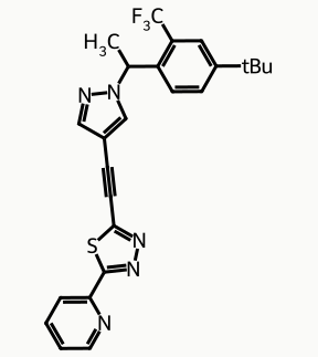 CC(c1ccc(C(C)(C)C)cc1C(F)(F)F)n1cc(C#Cc2nnc(-c3ccccn3)s2)cn1